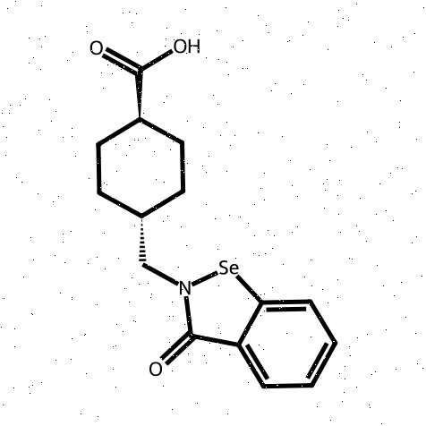 O=c1c2ccccc2[se]n1C[C@H]1CC[C@H](C(=O)O)CC1